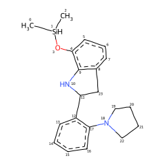 C[SiH](C)Oc1cccc2c1NC(c1ccccc1N1CCCC1)C2